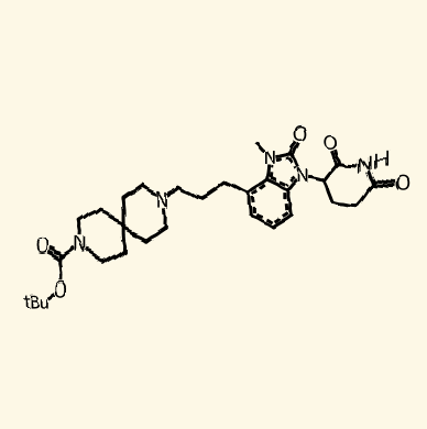 Cn1c(=O)n(C2CCC(=O)NC2=O)c2cccc(CCCN3CCC4(CC3)CCN(C(=O)OC(C)(C)C)CC4)c21